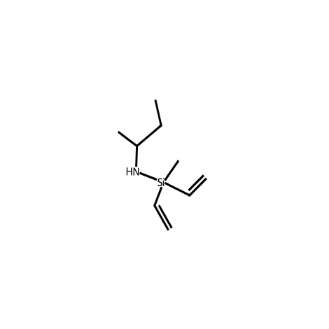 C=C[Si](C)(C=C)NC(C)CC